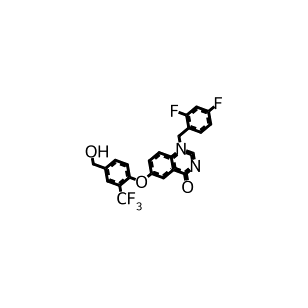 O=c1ncn(Cc2ccc(F)cc2F)c2ccc(Oc3ccc(CO)cc3C(F)(F)F)cc12